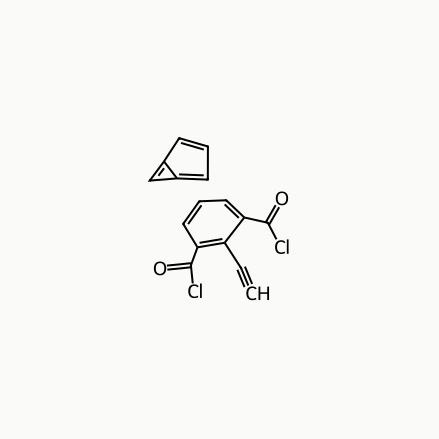 C#Cc1c(C(=O)Cl)cccc1C(=O)Cl.c1cc2cc-2c1